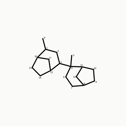 CC1CC(C2(C)CCC3CCC2C3)C2CCC1C2